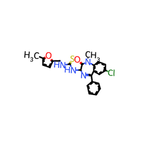 Cc1ccc(CNC(=S)NC2N=C(c3ccccc3)c3cc(Cl)ccc3N(C)C2=O)o1